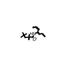 C=C/C=C(\C=C/C)NC(=O)C(C)(C)CC(C)(C)C